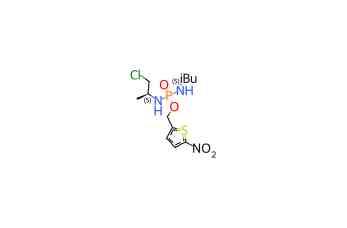 CC[C@H](C)NP(=O)(N[C@@H](C)CCl)OCc1ccc([N+](=O)[O-])s1